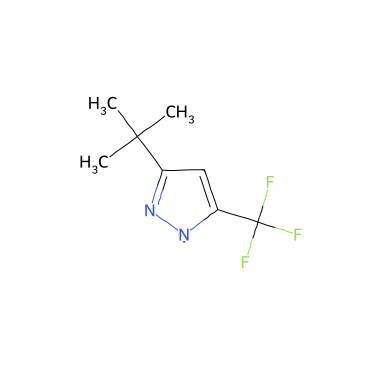 CC(C)(C)C1=N[N]C(C(F)(F)F)=C1